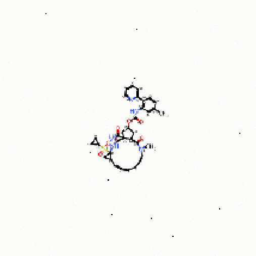 CN1CCCCC=CC2CC2(S(=O)(=O)C2CC2)NC(=O)C2(C(N)=O)CC(OC(=O)Nc3cc(C(F)(F)F)ccc3-c3ccccn3)CC2C1=O